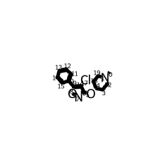 CN1CCC(Oc2noc(-c3ccccc3)c2Cl)CC1